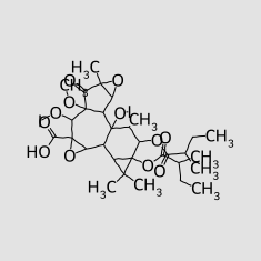 CCC(C)C(=O)OC1C(C)C2(OI)C(C3OC3(C(=O)O)C(OI)C3(OC)C(=O)C4(C)OC4C32)C2C(C)(C)C12OC(=O)C(C)CC